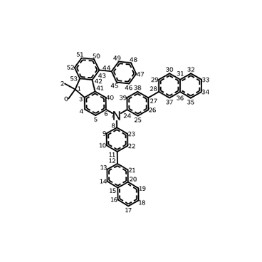 CC1(C)c2ccc(N(c3ccc(-c4ccc5ccccc5c4)cc3)c3ccc(-c4ccc5ccccc5c4)cc3)cc2-c2c(-c3ccccc3)cccc21